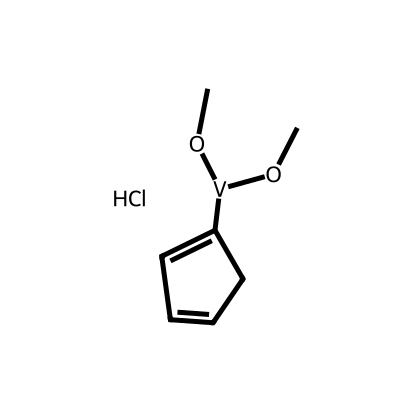 C[O][V]([O]C)[C]1=CC=CC1.Cl